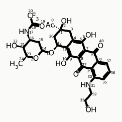 CC(=O)[C@]1(O)Cc2c(O)c3c(c(O)c2[C@@H](OC2C[C@H](NC(=O)C(F)(F)F)[C@H](O)[C@H](C)O2)C1)C(=O)c1c(NCCO)cccc1C3=O